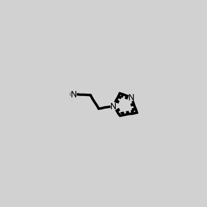 [N]CCn1ccnc1